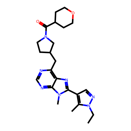 CCn1ncc(-c2nc3c(CC4CCN(C(=O)C5CCOCC5)C4)ncnc3n2C)c1C